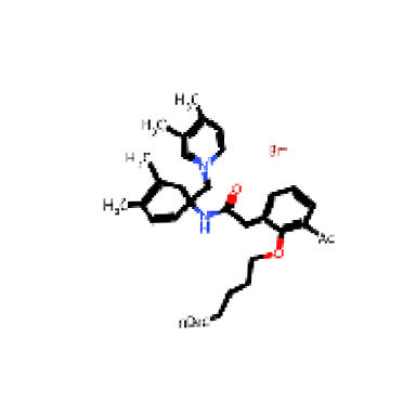 CCCCCCCCCCCCCCOc1c(CC(=O)NC2(C[n+]3ccc(C)c(C)c3)C=CC(C)=C(C)C2)cccc1C(C)=O.[Br-]